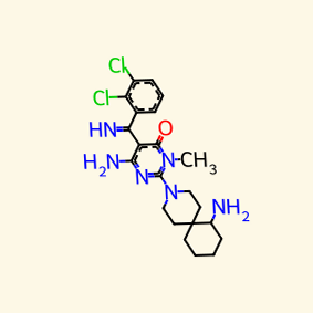 Cn1c(N2CCC3(CCCCC3N)CC2)nc(N)c(C(=N)c2cccc(Cl)c2Cl)c1=O